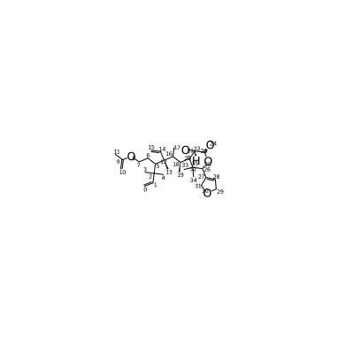 C=CC(C)(C)C(CCOC(=C)C)[C@](C)(C=C)C(C)[C@H](C)[C@@]12O[C@@H]1C(=O)OC(C1=CCOC1)C2(C)C